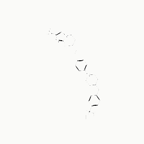 O=[N+]([O-])c1cn2c(n1)O[C@@H](COc1ccc(N3CCC(Cc4ccc(C(F)(F)F)cc4)CC3)cc1)CC2